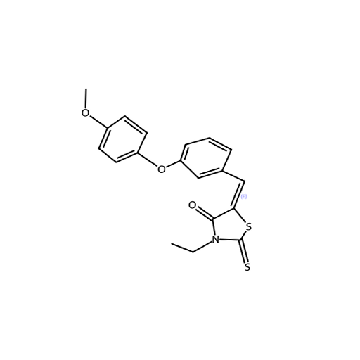 CCN1C(=O)/C(=C\c2cccc(Oc3ccc(OC)cc3)c2)SC1=S